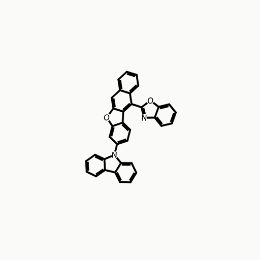 c1ccc2c(-c3nc4ccccc4o3)c3c(cc2c1)oc1cc(-n2c4ccccc4c4ccccc42)ccc13